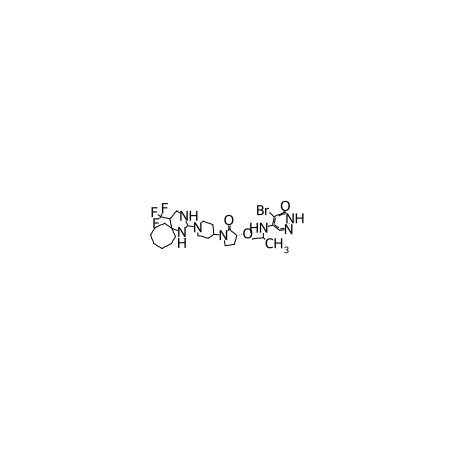 C[C@@H](CO[C@@H]1CCN(C2CCN(C3NCC(C(F)(F)F)C4(CCCCCCC4)N3)CC2)C1=O)Nc1cn[nH]c(=O)c1Br